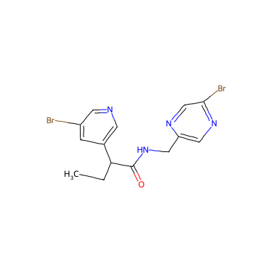 CCC(C(=O)NCc1cnc(Br)cn1)c1cncc(Br)c1